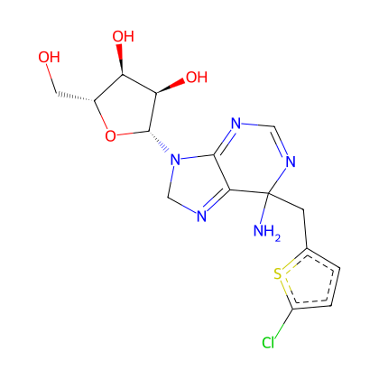 NC1(Cc2ccc(Cl)s2)N=CN=C2C1=NCN2[C@@H]1O[C@H](CO)[C@@H](O)[C@H]1O